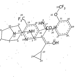 N=C(/C(CNC1CC2CCC(C1)N2c1ncc(C(=O)O)cc1C(F)(F)F)=C(\O)C1CC1)c1ccccc1OC(F)(F)F